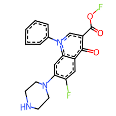 O=C(OF)c1cn(-c2ccccc2)c2cc(N3CCNCC3)c(F)cc2c1=O